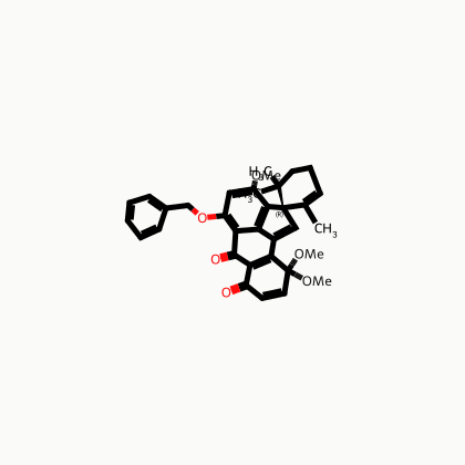 COc1cc(OCc2ccccc2)c2c3c1[C@@]1(C=C3C3=C(C(=O)C=CC3(OC)OC)C2=O)C(C)=CCCC1(C)C